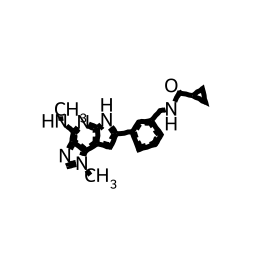 CNc1nc2[nH]c(-c3cccc(CNC(=O)C4CC4)c3)cc2c2c1ncn2C